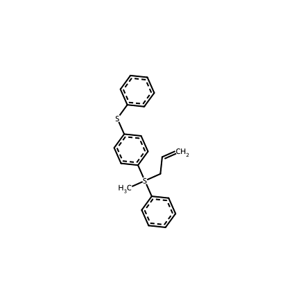 C=CCS(C)(c1ccccc1)c1ccc(Sc2ccccc2)cc1